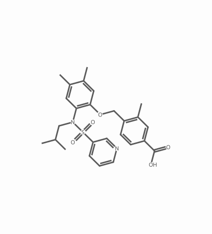 Cc1cc(OCc2ccc(C(=O)O)cc2C)c(N(CC(C)C)S(=O)(=O)c2cccnc2)cc1C